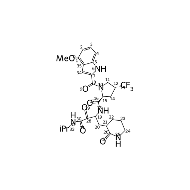 COc1cccc2[nH]c(C(=O)N3C[C@H](C(F)(F)F)C[C@H]3C(=O)NC(CC3CCCNC3=O)C(=O)C(=O)NC(C)C)cc12